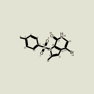 Cc1ccc(S(=O)(=O)n2c(C)cc3c(Br)c[nH]c(=O)c32)cc1